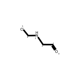 O=CCNCCl